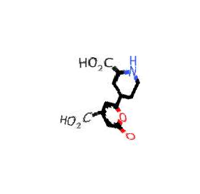 O=C(O)c1cc(C2CCNC(C(=O)O)C2)oc(=O)c1